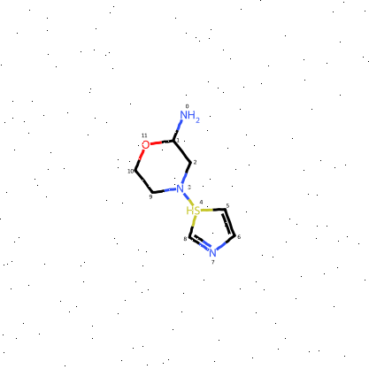 NC1CN([SH]2C=CN=C2)CCO1